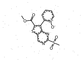 COC(=O)c1sc2cnc(S(C)(=O)=O)nc2c1-c1cccc[n+]1[O-]